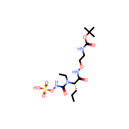 CCC[C@@H](C(=O)NOCCNC(=O)OC(C)(C)C)N(CC)C(=O)NOS(=O)(=O)O